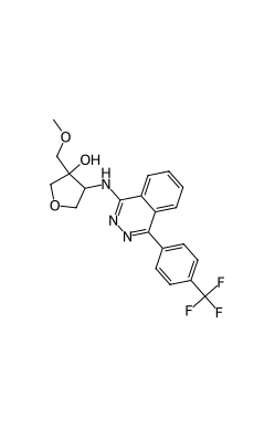 COCC1(O)COCC1Nc1nnc(-c2ccc(C(F)(F)F)cc2)c2ccccc12